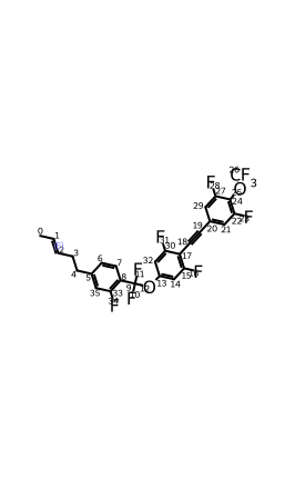 C/C=C/CCc1ccc(C(F)(F)Oc2cc(F)c(C#Cc3cc(F)c(OC(F)(F)F)c(F)c3)c(F)c2)c(F)c1